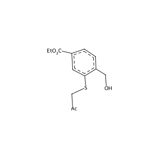 CCOC(=O)c1ccc(CO)c(SCC(C)=O)c1